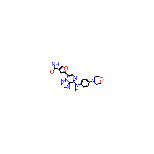 C=Nn1c(-c2cc(C(N)=O)co2)cnc(Nc2ccc(N3CCOCC3)cc2)/c1=N/C